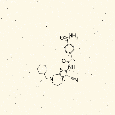 N#Cc1c(NC(=O)Cc2ccc([S+](N)[O-])cc2)sc2c1CCCN(CC1CCCCC1)C2